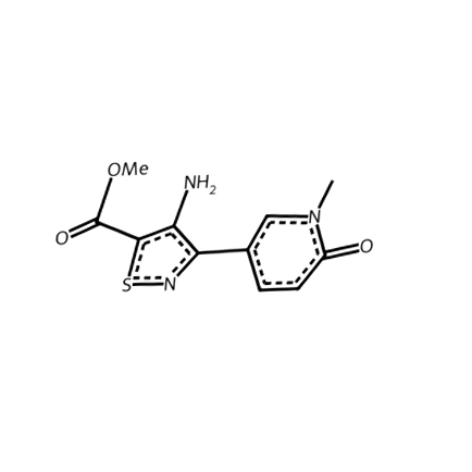 COC(=O)c1snc(-c2ccc(=O)n(C)c2)c1N